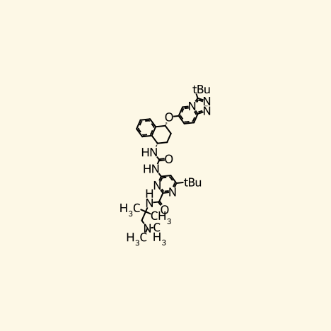 CN(C)CC(C)(C)NC(=O)c1nc(NC(=O)N[C@H]2CC[C@@H](Oc3ccc4nnc(C(C)(C)C)n4c3)c3ccccc32)cc(C(C)(C)C)n1